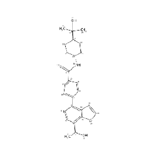 CC(O)c1cnc(-c2ccc(C(=O)N[C@H]3CC[C@H](C(C)(C)O)CC3)cc2)c2ccoc12